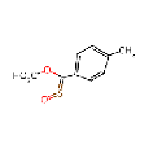 Cc1ccc(C(OC(=O)O)=S=O)cc1